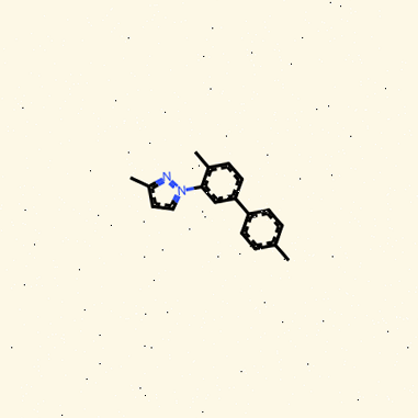 Cc1ccc(-c2ccc(C)c(-n3ccc(C)n3)c2)cc1